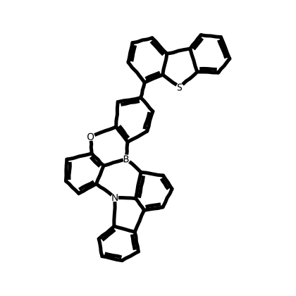 c1cc2c3c(c1)-n1c4ccccc4c4cccc(c41)B3c1ccc(-c3cccc4c3sc3ccccc34)cc1O2